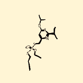 CCCSP(=O)(OCC)SCc1cc(OC(C)C)nc(C(C)C)n1